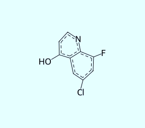 Oc1ccnc2c(F)cc(Cl)cc12